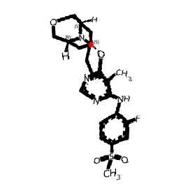 Cc1c(Nc2ccc(S(C)(=O)=O)cc2F)ncnc1O[C@H]1C[C@H]2COC[C@@H](C1)N2CCC(C)C